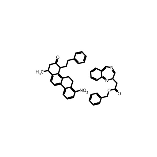 CC1CC(=O)C(CCc2ccccc2)c2c1ccc1c2CCc2c-1cccc2[N+](=O)[O-].O=C(CC1C=NC=c2ccccc2=N1)OCc1ccccc1